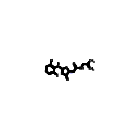 C=C(C)CNC(=O)/C=C1\SC(Nc2c(Cl)cccc2Cl)=NC1=O